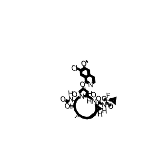 COc1cc2ccnc(O[C@@H]3C[C@H]4C(=O)N[C@]5(C(=O)NS(=O)(=O)C6(F)CC6)C[C@H]5C=CCC[C@H](C)C[C@@H](C)[C@H](NC(=O)O)C(=O)N4C3)c2cc1Cl